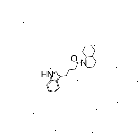 O=C(CCCc1c[nH]c2ccccc12)N1CCCC2CCCCC21